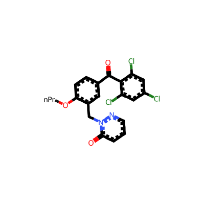 CCCOc1ccc(C(=O)c2c(Cl)cc(Cl)cc2Cl)cc1Cn1ncccc1=O